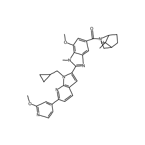 COc1cc(-c2ccc3cc(-c4nc5cc(C(=O)N6CC7CCC6[C@@H]7C)cc(OC)c5n4C)n(CC4CC4)c3n2)ccn1